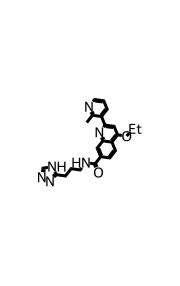 CCOc1cc(-c2cccnc2C)nc2cc(C(=O)NCCCc3nnc[nH]3)ccc12